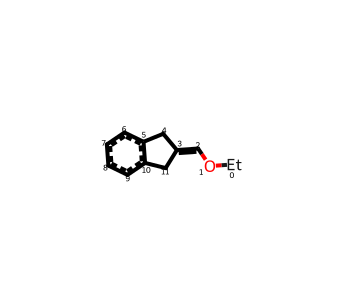 CCOC=C1Cc2ccccc2C1